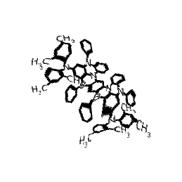 Cc1ccc(N(c2cc3c4c(c2)N(c2ccccc2)c2ccccc2N4c2cc4c(cc2B3c2ccccc2)B(c2ccccc2)c2cc(N(c3ccc(C)cc3C)c3ccc(C)cc3C)cc3c2N4c2ccccc2N3c2ccccc2)c2ccc(C)cc2C)c(C)c1